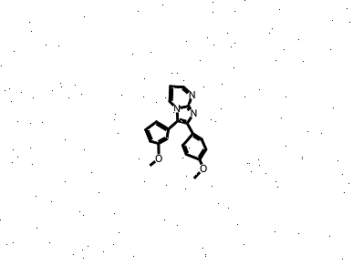 COc1ccc(-c2nc3ncccn3c2-c2cccc(OC)c2)cc1